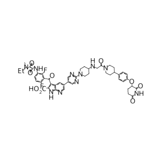 CCN(C)S(=O)(=O)Nc1ccc(F)c(C(=O)c2c(C(=O)O)[nH]c3ncc(-c4cnc(N5CCC(NCC(=O)N6CCC(c7ccc(OC8CCC(=O)NC8=O)cc7)CC6)CC5)nc4)cc23)c1F